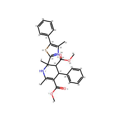 COC(=O)C1=C(C)NC(C)(c2nc(C)c(-c3ccccc3)s2)C(C(=O)OC)C1c1ccccc1